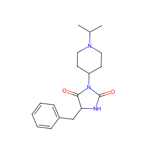 CC(C)N1CCC(N2C(=O)NC(Cc3ccccc3)C2=O)CC1